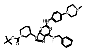 CN1CCN(c2ccc(Nc3nc(NCc4ccccc4)c4ncn(C5CCCN(C(=O)OC(C)(C)C)C5)c4n3)cc2)CC1